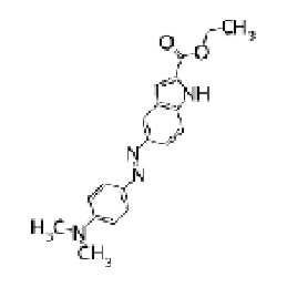 CCOC(=O)c1cc2cc(/N=N/c3ccc(N(C)C)cc3)ccc2[nH]1